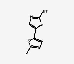 Cc1ccc(-c2cnc(C(C)C)s2)s1